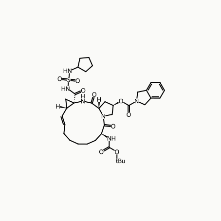 CC(C)(C)OC(=O)N[C@H]1CCCCC/C=C/[C@@H]2C[C@@]2(C(=O)NS(=O)(=O)NC2CCCC2)NC(=O)[C@@H]2C[C@@H](OC(=O)N3Cc4ccccc4C3)CN2C1=O